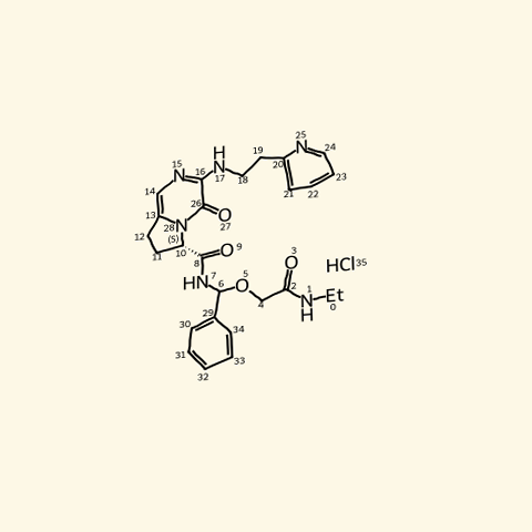 CCNC(=O)COC(NC(=O)[C@@H]1CCc2cnc(NCCc3ccccn3)c(=O)n21)c1ccccc1.Cl